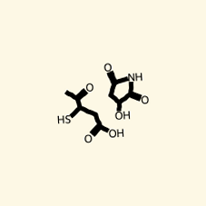 CC(=O)C(S)CC(=O)O.O=C1CC(O)C(=O)N1